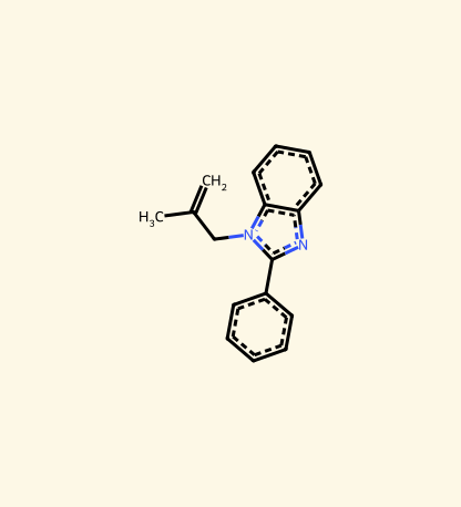 C=C(C)Cn1c(-c2ccccc2)nc2ccccc21